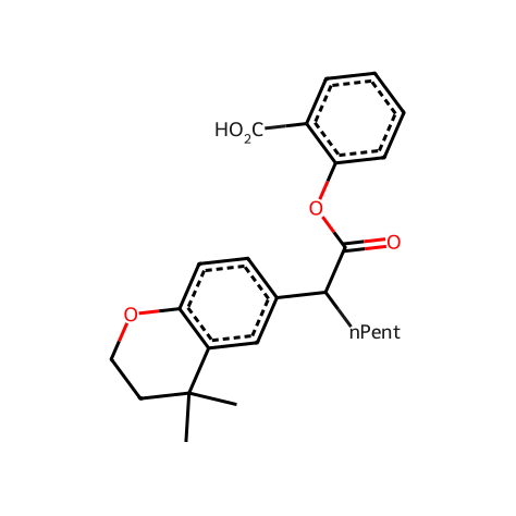 CCCCCC(C(=O)Oc1ccccc1C(=O)O)c1ccc2c(c1)C(C)(C)CCO2